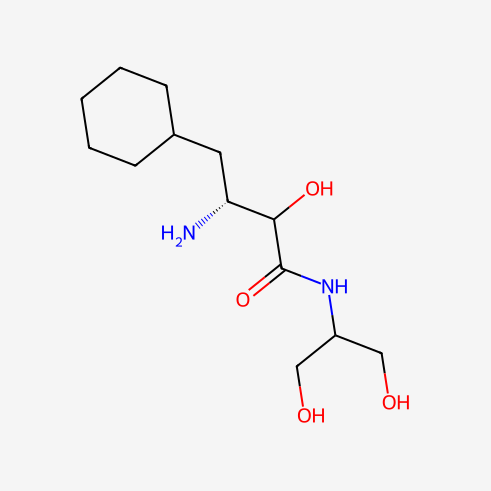 N[C@H](CC1CCCCC1)C(O)C(=O)NC(CO)CO